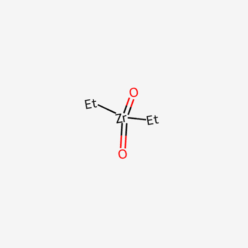 C[CH2][Zr](=[O])(=[O])[CH2]C